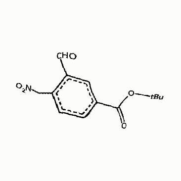 CC(C)(C)OC(=O)c1ccc([N+](=O)[O-])c(C=O)c1